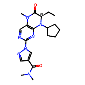 CC[C@@H]1C(=O)N(C)c2cnc(-n3cc(C(=O)N(C)C)cn3)nc2N1C1CCCC1